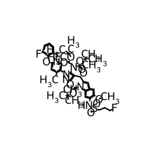 COc1cc2cc(C(=O)c3cnn(-c4cnc(Oc5c(F)cccc5F)cc4C)c3N(C(=O)OC(C)(C)C)C(=O)OC(C)(C)C)n(C(=O)OC(C)(C)C)c2cc1NS(=O)(=O)CCCF